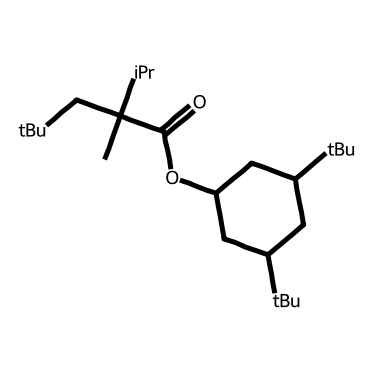 CC(C)C(C)(CC(C)(C)C)C(=O)OC1CC(C(C)(C)C)CC(C(C)(C)C)C1